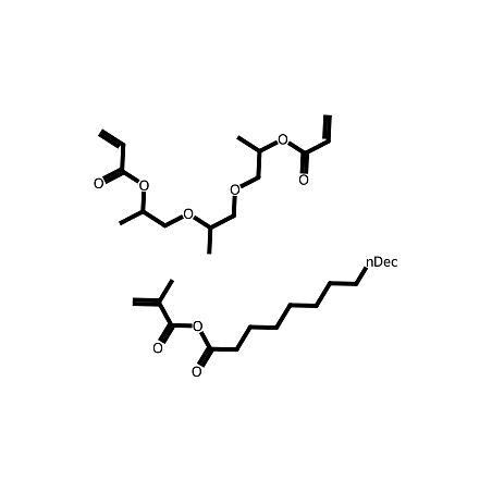 C=C(C)C(=O)OC(=O)CCCCCCCCCCCCCCCCC.C=CC(=O)OC(C)COCC(C)OCC(C)OC(=O)C=C